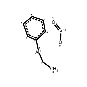 C[CH2][Al+][c]1ccccc1.O=P[O-]